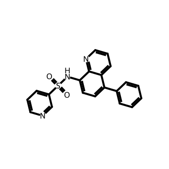 O=S(=O)(Nc1ccc(-c2ccccc2)c2cccnc12)c1cccnc1